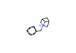 NC1C2CC1CN(Cc1ccccc1)C2